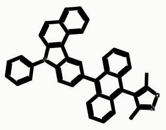 Cc1noc(C)c1-c1c2ccccc2c(-c2ccc3c(c2)c2c4ccccc4ccc2n3-c2ccccc2)c2ccccc12